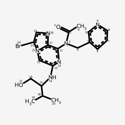 CC(=O)N(Cc1cccnc1)c1nc(NC(CO)C(C)C)cn2c(Br)cnc12